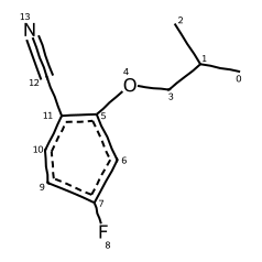 CC(C)COc1cc(F)ccc1C#N